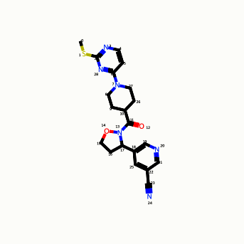 CSc1nccc(N2CCC(C(=O)N3OCCC3c3cncc(C#N)c3)CC2)n1